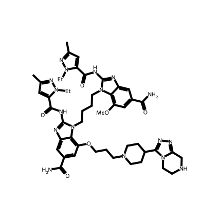 CCn1nc(C)cc1C(=O)Nc1nc2cc(C(N)=O)cc(OC)c2n1CCCCn1c(NC(=O)c2cc(C)nn2CC)nc2cc(C(N)=O)cc(OCCCN3CCC(c4nnc5n4CCNC5)CC3)c21